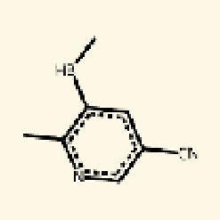 CBc1cc(C#N)cnc1C